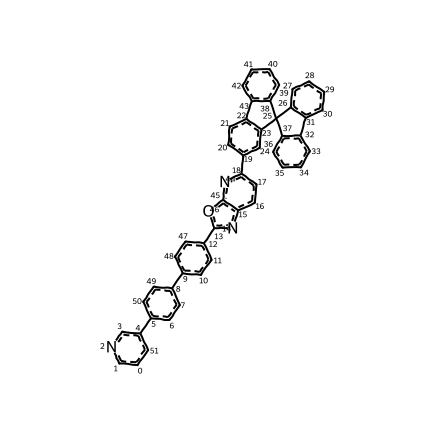 c1cncc(-c2ccc(-c3ccc(-c4nc5ccc(-c6ccc7c(c6)C6(c8ccccc8-c8ccccc86)c6ccccc6-7)nc5o4)cc3)cc2)c1